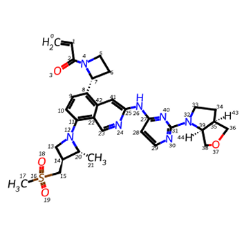 C=CC(=O)N1CC[C@@H]1c1ccc(N2C[C@H](CS(C)(=O)=O)[C@H]2C)c2cnc(Nc3ccnc(N4CC[C@H]5COC[C@H]54)n3)cc12